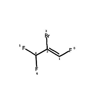 F/C=C(\Br)C(F)F